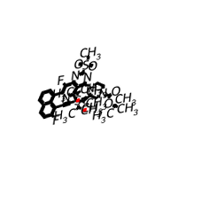 CCS(=O)(=O)c1nc2c3c(nc(-c4cccc5ccc(F)c(C#CS(C(C)C)(C(C)C)C(C)C)c45)c(F)c3n1)C[C@H](C)C1CN(C(=O)OC(C)(C)C)CCN21